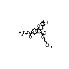 CCCCOC(=O)N[C@H](Cc1c[nH]cn1)C(=O)N1CCN(C(=O)OCC)CC1